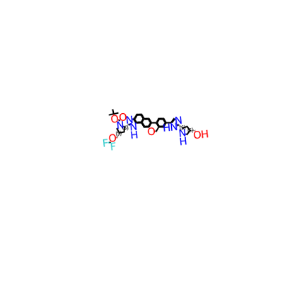 CC(C)(C)OC(=O)N1C[C@@H](COC(F)F)C[C@H]1c1nc2ccc3cc4c(cc3c2[nH]1)OCc1cc(-c2cnc([C@@H]3C[C@H](CO)CN3)[nH]2)ccc1-4